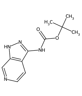 CC(C)(C)OC(=O)Nc1n[nH]c2cnccc12